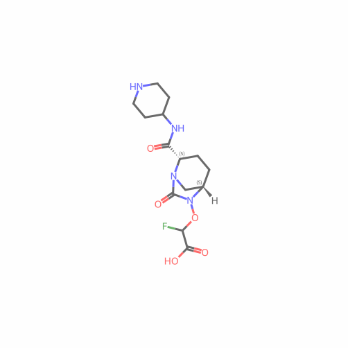 O=C(O)C(F)ON1C(=O)N2C[C@@H]1CC[C@H]2C(=O)NC1CCNCC1